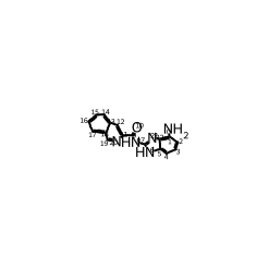 Nc1cccc2[nH]c(NC(=O)c3cc4ccccc4cn3)nc12